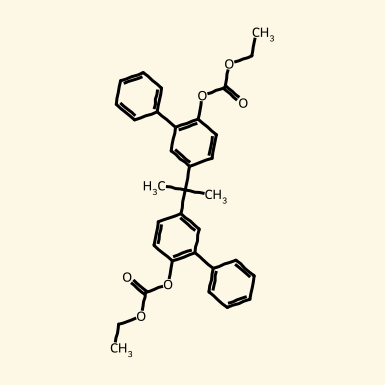 CCOC(=O)Oc1ccc(C(C)(C)c2ccc(OC(=O)OCC)c(-c3ccccc3)c2)cc1-c1ccccc1